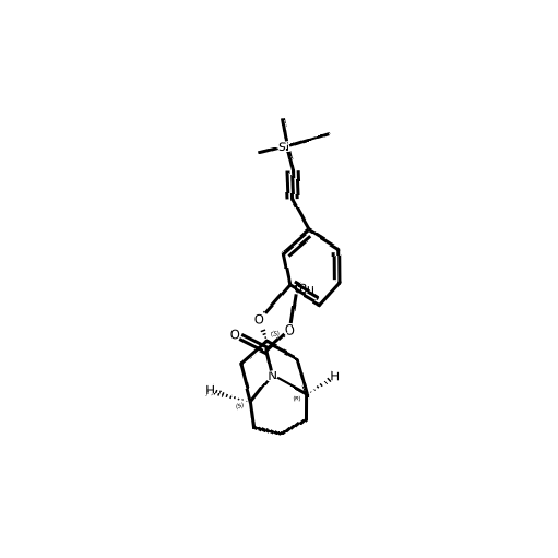 CC(C)(C)OC(=O)N1[C@@H]2CCC[C@H]1C[C@H](Oc1cccc(C#C[Si](C)(C)C)c1)C2